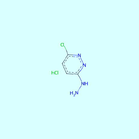 Cl.NNc1ccc(Cl)nn1